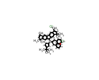 CC1=CC(C)(C)c2cc3c(cc21)-c1cc2c(cc1[CH]3[Zr+2]([C]1=CC(C(C)(C)C)=CC1)=[C](Cc1ccccc1)Cc1ccccc1)C(C)(C)C=C2C.[Cl-].[Cl-]